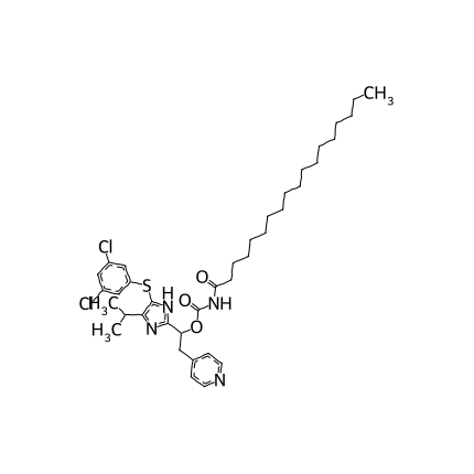 CCCCCCCCCCCCCCCCCC(=O)NC(=O)OC(Cc1ccncc1)c1nc(C(C)C)c(Sc2cc(Cl)cc(Cl)c2)[nH]1